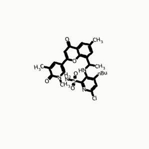 CCCCc1cc(Cl)nc(S(N)(=O)=O)c1NC(C)c1cc(C)cc2c(=O)cc(-c3cc(C)c(=O)n(C)c3)oc12